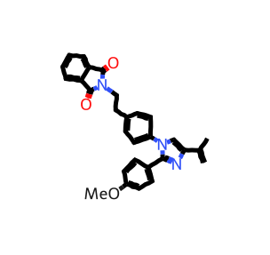 C=C(C)c1cn(-c2ccc(CCN3C(=O)c4ccccc4C3=O)cc2)c(-c2ccc(OC)cc2)n1